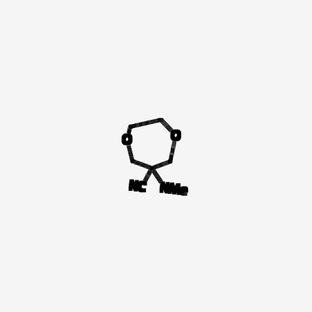 CNC1(C#N)COCCOC1